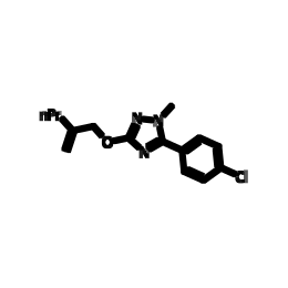 C=C(CCC)COc1nc(-c2ccc(Cl)cc2)n(C)n1